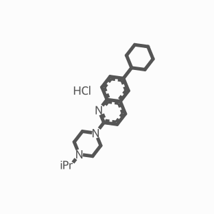 CC(C)N1CCN(c2ccc3cc(C4CCCCC4)ccc3n2)CC1.Cl